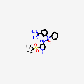 CC(C)S(=O)(=O)C1CC(NC(=O)N(c2cccc(C(=N)N)c2)C2CCCCCC2)CCN1